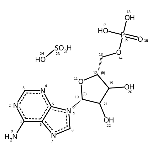 Nc1ncnc2c1ncn2[C@@H]1O[C@H](COP(=O)(O)O)C(O)C1O.O=S(=O)(O)O